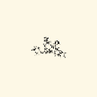 CC(C)(C)OC(=O)C(=Cc1ccco1)Nc1ncc(Br)nc1Cc1ccccc1